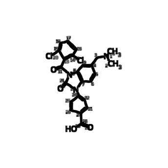 CN(C)Cc1ccc2c(c1)n(C(=O)c1c(Cl)cccc1Cl)c(=O)n2-c1ccc(C(=O)O)cc1